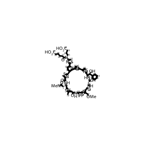 CNC(=O)C[C@@H]1NC(=O)c2csc(n2)-c2ccc(-c3nc(N(CCCC(=O)O)C(=O)CCCCC(=O)O)cs3)nc2-c2csc(n2)-c2csc(n2)[C@H]([C@@H](O)c2ccccc2)NC(=O)CNC(=O)c2nc(sc2COC)C(C(C)C)NC(=O)c2nc1sc2C